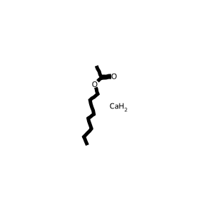 CCCCCCCOC(C)=O.[CaH2]